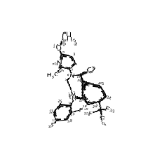 COc1ccc(N2CN(c3ccc(F)cc3F)c3cc(C(F)(F)F)ccc3C2=O)c(C)n1